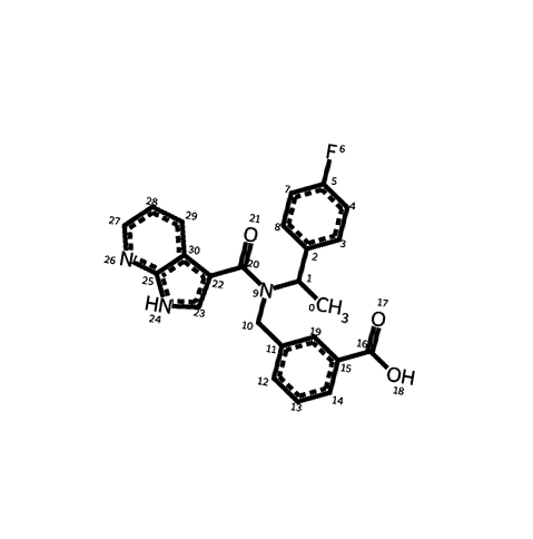 CC(c1ccc(F)cc1)N(Cc1cccc(C(=O)O)c1)C(=O)c1c[nH]c2ncccc12